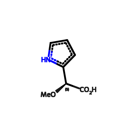 CO[C@H](C(=O)O)c1ccc[nH]1